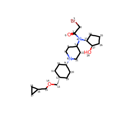 O=C(CBr)N(C1CCN([C@H]2CC[C@@H](COCC3CC3)CC2)CC1)[C@H]1CCC[C@H]1O